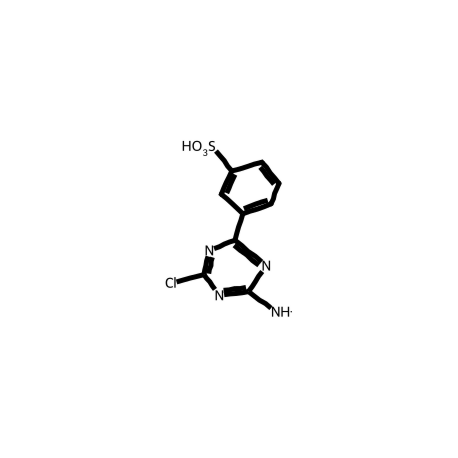 [NH]c1nc(Cl)nc(-c2cccc(S(=O)(=O)O)c2)n1